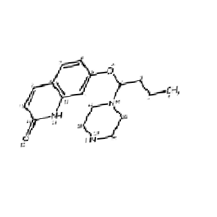 CCCC(Oc1ccc2ccc(=O)[nH]c2c1)N1CCNCC1